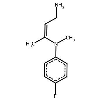 C/C(=C/CN)N(C)c1ccc(F)cc1